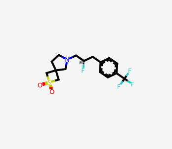 O=S1(=O)CC2(CCN(C[C@H](F)Cc3ccc(C(F)(F)F)cc3)C2)C1